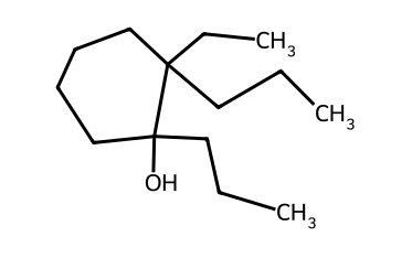 CCCC1(O)CCCCC1(CC)CCC